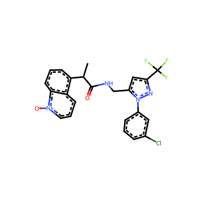 CC(C(=O)NCc1cc(C(F)(F)F)nn1-c1cccc(Cl)c1)c1cccc2c1ccc[n+]2[O-]